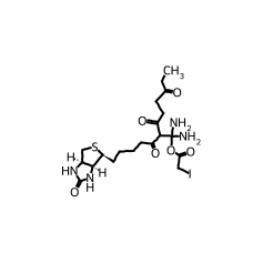 CCC(=O)CCC(=O)C(C(=O)CCCC[C@@H]1SC[C@@H]2NC(=O)N[C@@H]21)C(N)(N)OC(=O)CI